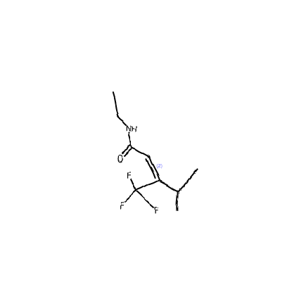 CCNC(=O)/C=C(/C(C)C)C(F)(F)F